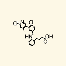 Cc1cc(Cl)ncc1-c1cc(CNc2ccccc2CCCC(=O)O)ccc1Cl